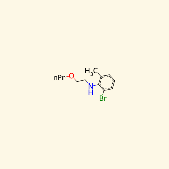 CCCOCCNc1c(C)cccc1Br